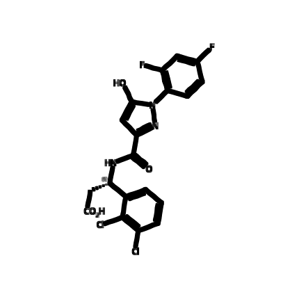 O=C(O)C[C@H](NC(=O)c1cc(O)n(-c2ccc(F)cc2F)n1)c1cccc(Cl)c1Cl